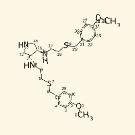 COc1ccc(CSCCN[C@@H]2CNC[C@H]2NCCSCc2ccc(OC)cc2)cc1